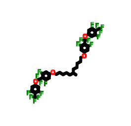 CC(CCCCCOc1cc(F)c(C(F)(F)Oc2cc(F)c(C(F)(F)F)c(F)c2)c(F)c1)CCCCCOc1cc(F)c(C(F)(F)Oc2cc(F)c(C(F)(F)F)c(F)c2)c(F)c1